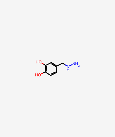 NNCc1ccc(O)c(O)c1